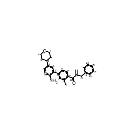 Cc1cc(-c2cc(C3CCOCC3)cnc2N)ccc1C(=O)NCc1ccccc1